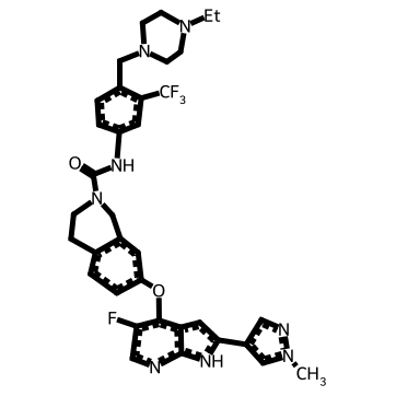 CCN1CCN(Cc2ccc(NC(=O)N3CCc4ccc(Oc5c(F)cnc6[nH]c(-c7cnn(C)c7)cc56)cc4C3)cc2C(F)(F)F)CC1